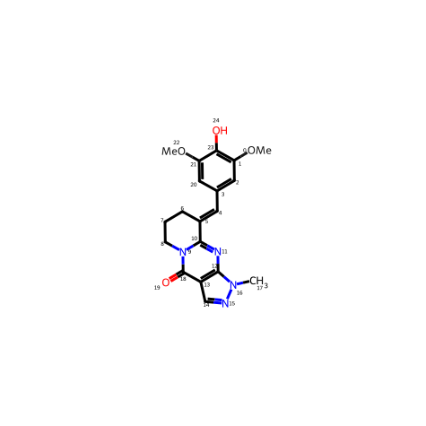 COc1cc(/C=C2\CCCn3c2nc2c(cnn2C)c3=O)cc(OC)c1O